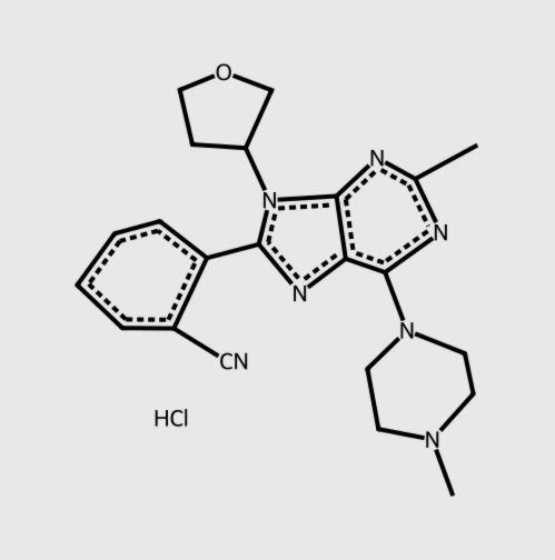 Cc1nc(N2CCN(C)CC2)c2nc(-c3ccccc3C#N)n(C3CCOC3)c2n1.Cl